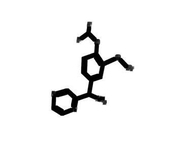 CC(C)Oc1cc(C(N)c2cnccn2)ccc1OC(F)F